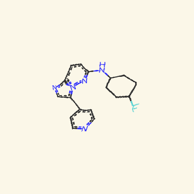 FC1CCC(Nc2ccc3ncc(-c4ccncc4)n3n2)CC1